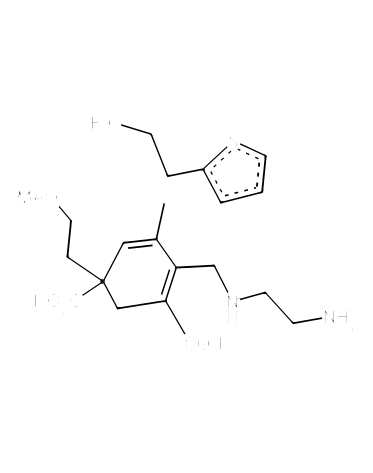 COCCC1(C(=O)O)C=C(C)C(CNCCN)=C(C(=O)O)C1.FC(F)(F)CCc1cccs1